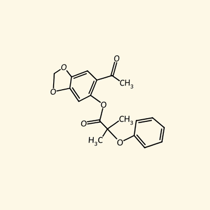 CC(=O)c1cc2c(cc1OC(=O)C(C)(C)Oc1ccccc1)OCO2